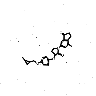 CC1CC1COc1ccc(OC2CCN(c3cc(F)c4c(c3)C(=O)CC4)C2=O)cn1